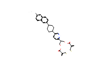 C=C(CS)C(=O)OCC(COC(=O)C(=C)CS)c1ccc(C2CCC(c3ccc4cc(CCCCC)ccc4c3)CC2)cn1